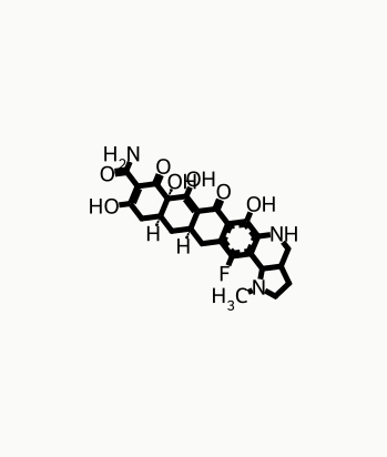 CN1CCC2CNc3c(O)c4c(c(F)c3C21)C[C@H]1C[C@H]2CC(O)=C(C(N)=O)C(=O)[C@@]2(O)C(O)=C1C4=O